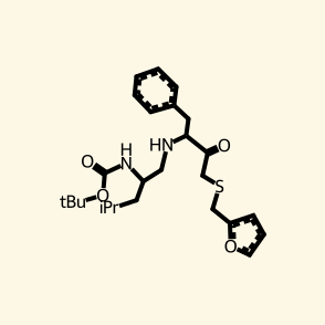 CC(C)CC(CNC(Cc1ccccc1)C(=O)CSCc1ccco1)NC(=O)OC(C)(C)C